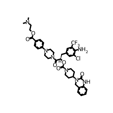 CN(C)CCOC(=O)c1ccc(N2CCN(C(=O)[C@@H](Cc3cc(Cl)c(N)c(C(F)(F)F)c3)OC(=O)N3CCC(N4Cc5ccccc5NC4=O)CC3)CC2)cc1